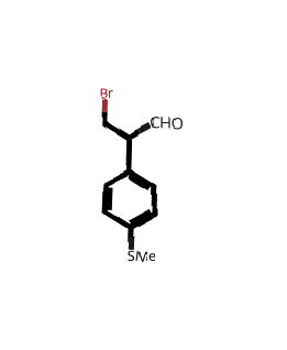 CSc1ccc(C(C=O)CBr)cc1